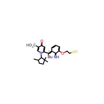 CCC(C)/C(=C1/C=CC=C(OCCS)C1=N)c1cc(=O)c(C(=O)O)cn1C1C(C)CCC1(C)C